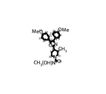 COc1ccc(-c2nc(C3CCN(C(=O)N(C)O)CC3C)oc2-c2ccc(OC)cc2)cc1